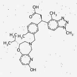 Cc1ccc([C@@H](CC(=O)O)c2ccc3c(nnn3C)c2C)cc1CN1Cc2nc(O)ccc2O[C@H](C(C)C)C1